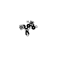 COc1cccc2c1CN(S(N)(=O)=O)C2c1cccc(-c2nc(N3C4CCC3COC4)sc2-c2ccnc(S(C)(=O)=O)n2)c1F